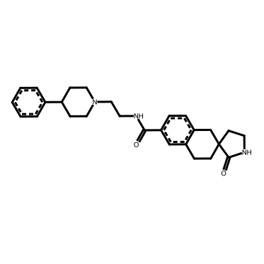 O=C(NCCN1CCC(c2ccccc2)CC1)c1ccc2c(c1)CCC1(CCNC1=O)C2